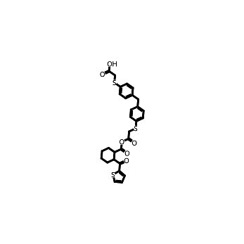 O=C(O)CSc1ccc(Cc2ccc(SCC(=O)OC(=O)C3CCCCC3C(=O)c3cccs3)cc2)cc1